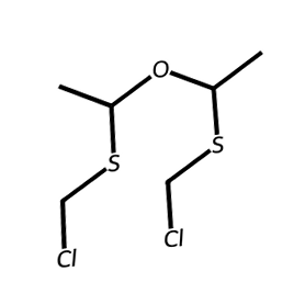 CC(OC(C)SCCl)SCCl